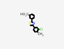 Cc1ccc(-c2csc(-c3cccc(C(=O)O)c3)n2)cc1Cl